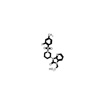 Cc1ccc(S(=O)(=O)N2CCC[C@@H](n3c(=O)n(CC(=O)O)c4cccnc43)C2)c(F)c1